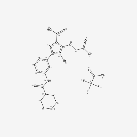 O=C(O)C(F)(F)F.O=C(O)COc1c(C(=O)O)sc(-c2cccc(NC(=O)C3CCNCC3)c2)c1Br